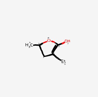 CCC1=C(O)OC(C)C1